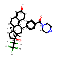 CC12C[C@H](c3ccc(C(=O)N4CCNCC4)cc3)C3=C4CCC(=O)C=C4CC[C@H]3[C@@H]1CCC2(O)C(F)(F)C(F)(F)F